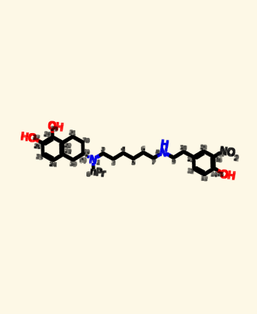 CCCN(CCCCCCNCCc1ccc(O)c([N+](=O)[O-])c1)[C@H]1CCc2c(ccc(O)c2O)C1